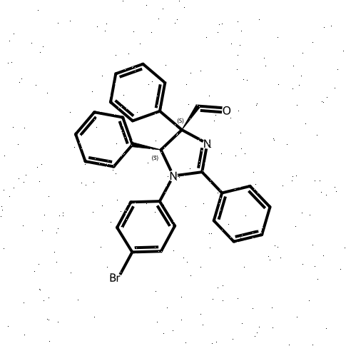 O=C[C@@]1(c2ccccc2)N=C(c2ccccc2)N(c2ccc(Br)cc2)[C@H]1c1ccccc1